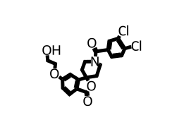 O=C1OC2(CCN(C(=O)c3ccc(Cl)c(Cl)c3)CC2)c2cc(OCCO)ccc21